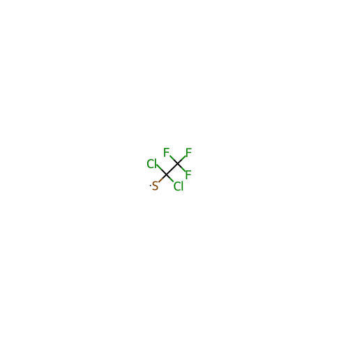 FC(F)(F)C([S])(Cl)Cl